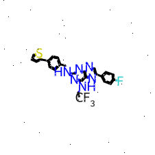 Fc1ccc(-c2cnc3nc(NCc4ccc(-c5cccs5)cc4)nc(NCC(F)(F)F)c3n2)cc1